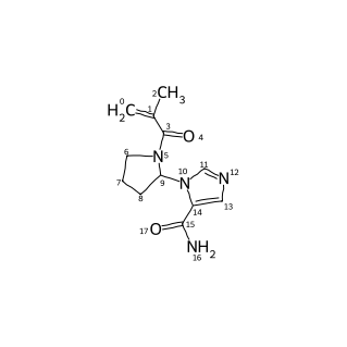 C=C(C)C(=O)N1CCCC1n1cncc1C(N)=O